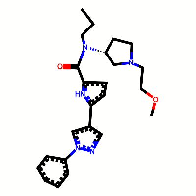 CCCN(C(=O)c1ccc(-c2cnn(-c3ccccc3)c2)[nH]1)[C@@H]1CCN(CCOC)C1